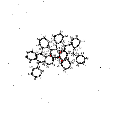 c1ccc(-c2c3ccccc3c(-c3ccccc3-c3ccc(-c4ccccn4)nc3-c3ccccc3-c3c4ccccc4c(-c4ccccc4)c4ccccc34)c3ccccc23)cc1